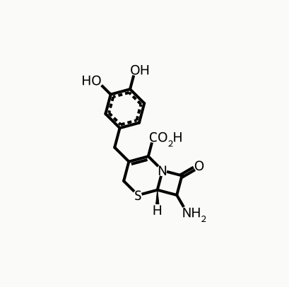 NC1C(=O)N2C(C(=O)O)=C(Cc3ccc(O)c(O)c3)CS[C@@H]12